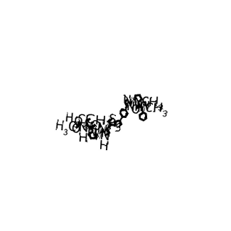 COC(=O)N[C@H](C(=O)N1CCC[C@H]1c1nc(-c2csc3c(-c4ccc(-c5cnc([C@@H]6CCCN6C(=O)[C@@H](c6ccccc6)N(C)C)[nH]5)cc4)csc23)c[nH]1)C(C)C